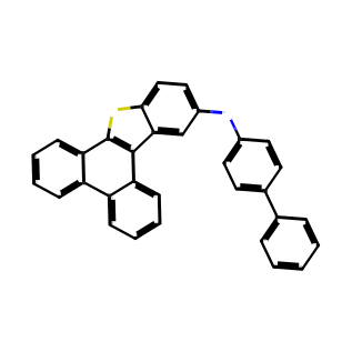 c1ccc(-c2ccc(Nc3ccc4sc5c6ccccc6c6ccccc6c5c4c3)cc2)cc1